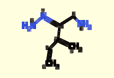 C=CC(=C)/C(CN)=N\N